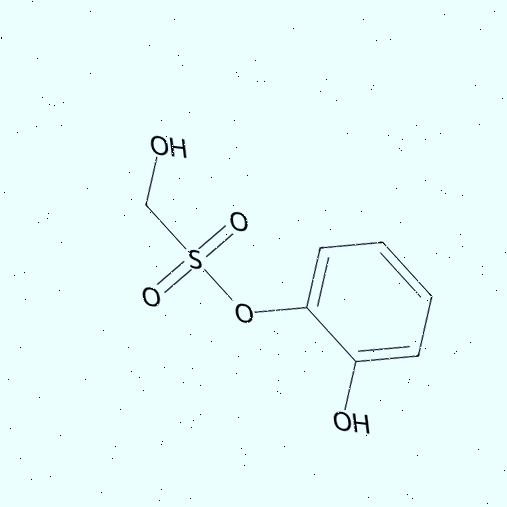 O=S(=O)(CO)Oc1ccccc1O